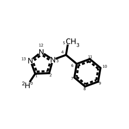 [2H]c1cn(C(C)c2ccccc2)nn1